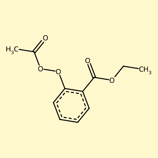 CCOC(=O)c1ccccc1OOC(C)=O